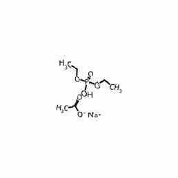 CC(=O)[O-].CCOP(=O)(O)OCC.[Na+]